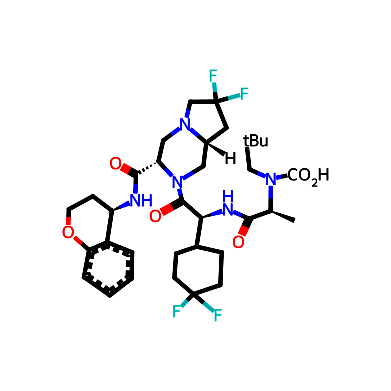 C[C@@H](C(=O)N[C@H](C(=O)N1C[C@H]2CC(F)(F)CN2C[C@H]1C(=O)N[C@@H]1CCOc2ccccc21)C1CCC(F)(F)CC1)N(CC(C)(C)C)C(=O)O